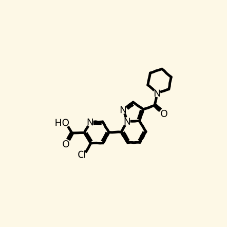 O=C(O)c1ncc(-c2cccc3c(C(=O)N4CCCCC4)cnn23)cc1Cl